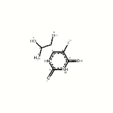 CC(O)CO.O=c1[nH]cc(F)c(=O)[nH]1